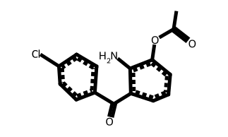 CC(=O)Oc1cccc(C(=O)c2ccc(Cl)cc2)c1N